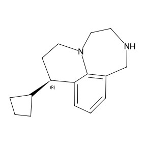 c1cc2c3c(c1)[C@@H](C1CCC1)CCN3CCNC2